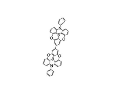 c1ccc(N2c3cccc4c3B3c5c(cc(-c6cc7c8c(c6)Oc6cccc9c6B8c6c(cccc6N9c6ccccc6)O7)cc5Oc5cccc2c53)O4)cc1